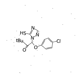 CC(C)(C)C(=O)C(Oc1ccc(Cl)cc1)n1ncnc1S